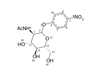 CC(=O)N[C@H]1C(Oc2ccc([N+](=O)[O-])cc2)O[C@H](CO)[C@@H](O)[C@@H]1O